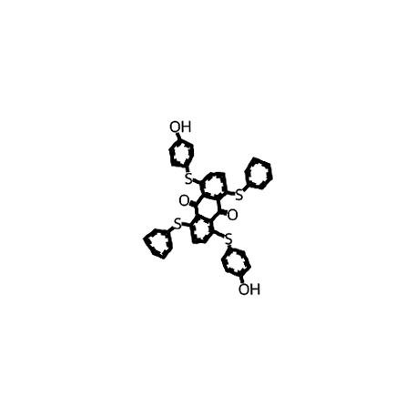 O=C1c2c(Sc3ccccc3)ccc(Sc3ccc(O)cc3)c2C(=O)c2c(Sc3ccccc3)ccc(Sc3ccc(O)cc3)c21